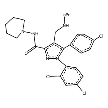 CCCNCc1c(C(=O)NN2CCCCC2)nn(-c2ccc(Cl)cc2Cl)c1-c1ccc(Cl)cc1